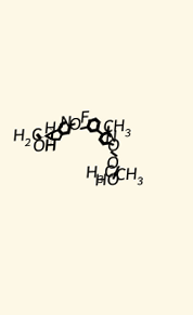 C=C(O)[C@H]1[C@@H]2Cc3cc(OCc4cc(-c5ccc(OCCOCC(C)(C)O)nc5C)ccc4F)ncc3[C@@H]21